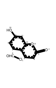 O=CCl.O=c1ccc2ccc(O)cc2o1